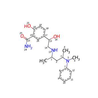 CC(CC(C)N(C)c1ccccc1)NCC(O)c1ccc(O)c(C(N)=O)c1